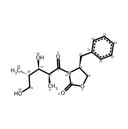 C[C@H](C(=O)N1C(=O)OC[C@@H]1Cc1ccccc1)[C@H](O)[C@@H](C)CO